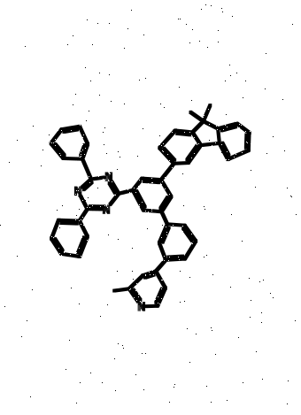 Cc1cc(-c2cccc(-c3cc(-c4ccc5c(c4)-c4ccccc4C5(C)C)cc(-c4nc(-c5ccccc5)nc(-c5ccccc5)n4)c3)c2)ccn1